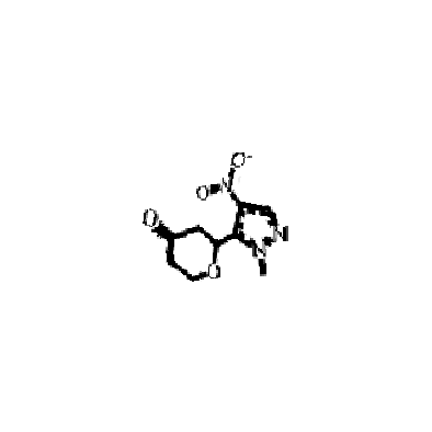 Cn1ncc([N+](=O)[O-])c1C1CC(=O)CCO1